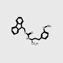 CC(C)(C)Oc1cccc(CC[C@H](NC(=O)OCC2c3ccccc3-c3ccccc32)C(=O)O)c1